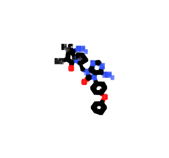 CC(C)(N)/C=C(/C#N)C(=O)N1CCC[C@H]1Cn1c(=O)n(-c2ccc(Oc3ccccc3)cc2)c2c(N)ncnc21